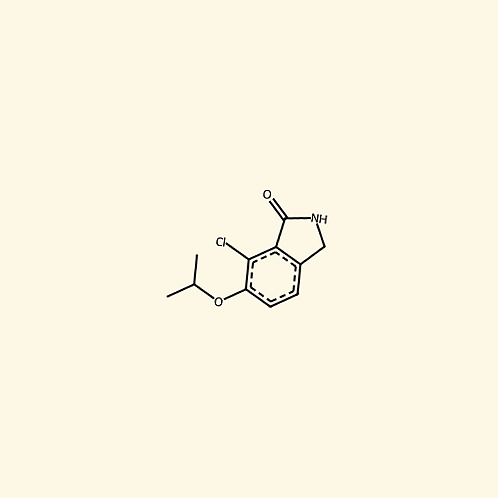 CC(C)Oc1ccc2c(c1Cl)C(=O)NC2